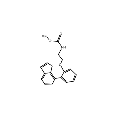 CC(C)(C)OC(=O)NCCOc1ccccc1-c1cccc2ccsc12